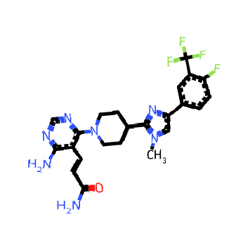 Cn1cc(-c2ccc(F)c(C(F)(F)F)c2)nc1C1CCN(c2ncnc(N)c2C=CC(N)=O)CC1